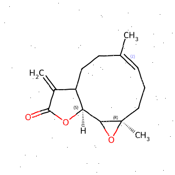 C=C1C(=O)O[C@H]2C1CC/C(C)=C\CC[C@@]1(C)OC21